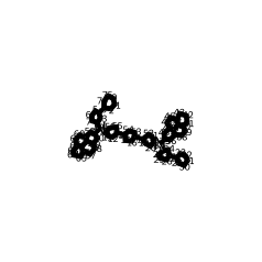 c1ccc(-c2cccc(N(c3ccc(-c4ccc(-c5ccc(N(c6cccc(-c7ccccc7)c6)c6cc7ccc8cccc9ccc(c6)c7c89)cc5)cc4)cc3)c3cc4ccc5cccc6ccc(c3)c4c56)c2)cc1